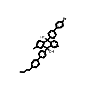 CCCCc1ccc(-c2ccc(C3(O)c4ccccc4C(O)(c4ccc(-c5ccc(Br)cc5)cc4)c4ccc(C)cc43)cc2)cc1